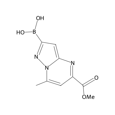 COC(=O)c1cc(C)n2nc(B(O)O)cc2n1